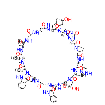 CCCC[C@H]1C(=O)N(C)[C@@H](CCCC)C(=O)N[C@@H](CC(C)CC)C(=O)NCC(=O)NCCC(=O)N[C@@H](Cc2ccc(O)cc2)C(=O)N(C)[C@@H](C)C(=O)N[C@@H](CC(N)=O)C(=O)N2CCCC2C(=O)N[C@@H](Cc2c[nH]cn2)C(=O)N[C@@H](CC(C)C)C(=O)N2C[C@H](O)C[C@H]2C(=O)N[C@@H](Cc2c[nH]c3ccccc23)C(=O)NCC(=O)N[C@@H](Cc2c[nH]c3ccccc23)C(=O)N1C